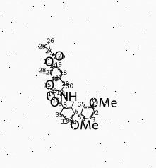 COc1cccc(-c2cc(C(=O)NC3C(=O)Oc4c(ccc(OC(=O)C5CC5)c4C)C3C)ccc2OC)c1